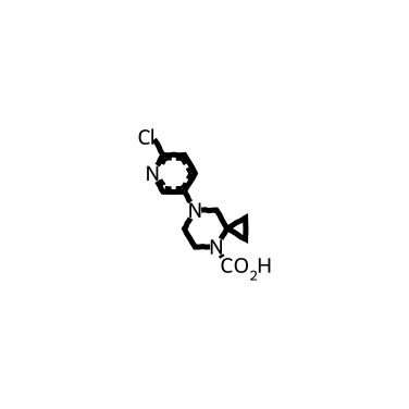 O=C(O)N1CCN(c2ccc(Cl)nc2)CC12CC2